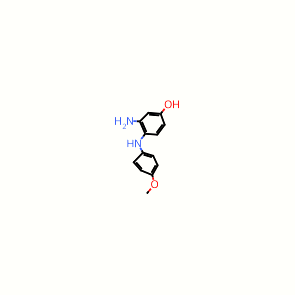 COc1ccc(Nc2ccc(O)cc2N)cc1